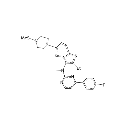 CCc1nc2ccc(C3=CCN(SC)CC3)cn2c1N(C)c1nccc(-c2ccc(F)cc2)n1